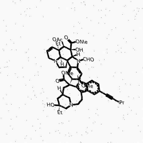 CC[C@]1(O)C[C@H]2CN(CCc3c([nH]c4ccc(C#CC(C)C)cc34)[C@@](C(=O)OC)(C3C=C4C(=CC3OC)N(C=O)[C@H]3[C@@](O)(C(=O)OC)[C@H](OC(C)=O)[C@]5(CC)C=CCN6CC[C@]43[C@@H]65)C2)C1